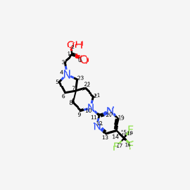 O=C(O)CN1CCC2(CCN(c3ncc(C(F)(F)F)cn3)CC2)C1